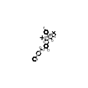 CC1(C)CS[C@@H](C(=O)N([C@@H](Cc2ccc(OC(=O)N3CCN(c4ccccn4)CC3)c(Cl)c2)C(=O)OC(C)(C)C)S(=O)(=O)c2ccc(F)cc2)N1